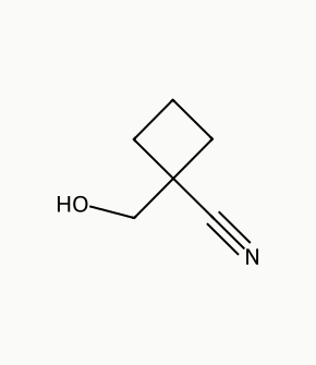 N#CC1(CO)CCC1